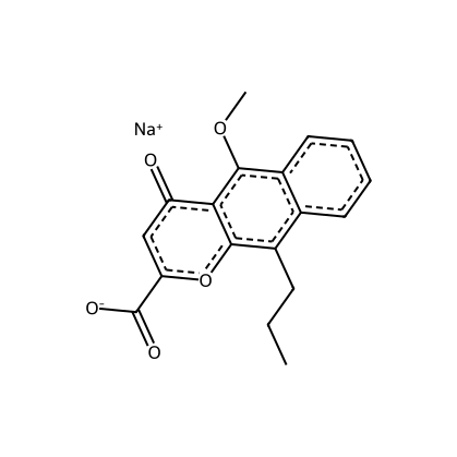 CCCc1c2ccccc2c(OC)c2c(=O)cc(C(=O)[O-])oc12.[Na+]